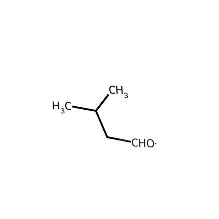 CC(C)C[C]=O